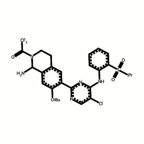 CC(C)COc1cc2c(cc1-c1ncc(Cl)c(Nc3ccccc3S(=O)(=O)C(C)C)n1)CCN(C(=O)C(F)(F)F)C2N